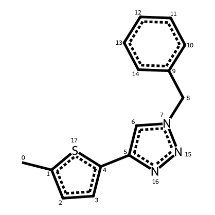 Cc1ccc(-c2cn(Cc3ccccc3)nn2)s1